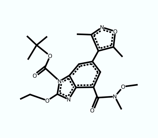 CCOc1nc2c(C(=O)N(C)OC)cc(-c3c(C)noc3C)cc2n1C(=O)OC(C)(C)C